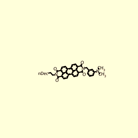 CCCCCCCCCCCCN1C(=O)c2ccc3c4ccc5c6c(ccc(c7ccc(c2c37)C1=O)c64)C(=O)N(Cc1cccc(N(C)C)c1)C5=O